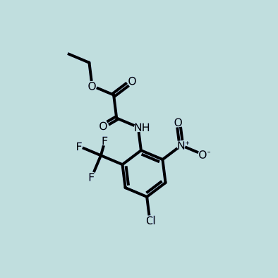 CCOC(=O)C(=O)Nc1c([N+](=O)[O-])cc(Cl)cc1C(F)(F)F